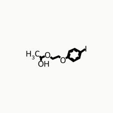 CC(O)OCCOc1ccc(I)cc1